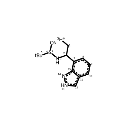 [2H]CC(N[S+]([O-])C(C)(C)C)c1cccc2c[nH]nc12